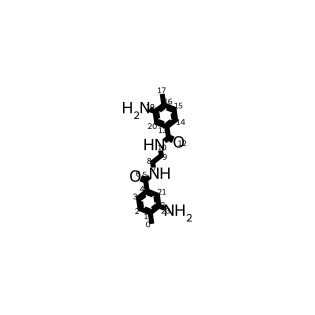 Cc1ccc(C(=O)NCCNC(=O)c2ccc(C)c(N)c2)cc1N